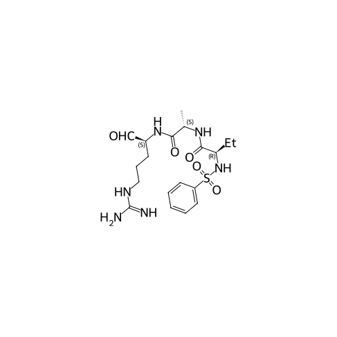 CC[C@@H](NS(=O)(=O)c1ccccc1)C(=O)N[C@@H](C)C(=O)N[C@H](C=O)CCCNC(=N)N